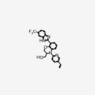 C=Cc1ccc(N2c3cccc(-c4nc5ccc(C(F)(F)F)cc5[nH]4)c3OCC2CO)nc1